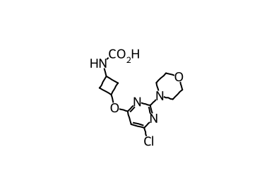 O=C(O)NC1CC(Oc2cc(Cl)nc(N3CCOCC3)n2)C1